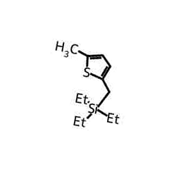 CC[Si](CC)(CC)Cc1ccc(C)s1